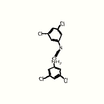 Nc1cc(Cl)cc(Cl)c1.O=C=Nc1cc(Cl)cc(Cl)c1